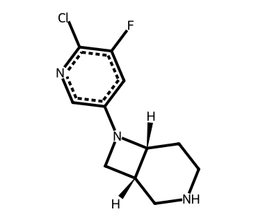 Fc1cc(N2C[C@H]3CNCC[C@H]32)cnc1Cl